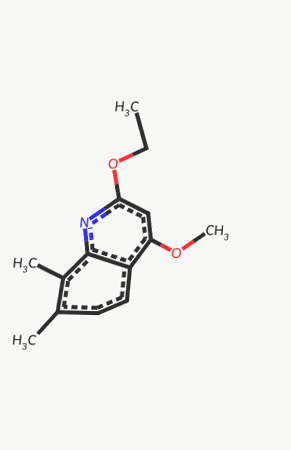 CCOc1cc(OC)c2ccc(C)c(C)c2n1